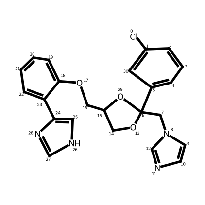 Clc1cccc(C2(Cn3ccnc3)OCC(COc3ccccc3-c3c[nH]cn3)O2)c1